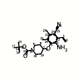 C=Cc1c(N)c(OC2CCN(C(=O)OC(C)(C)C)CC2)c(C)c(C)c1C#N